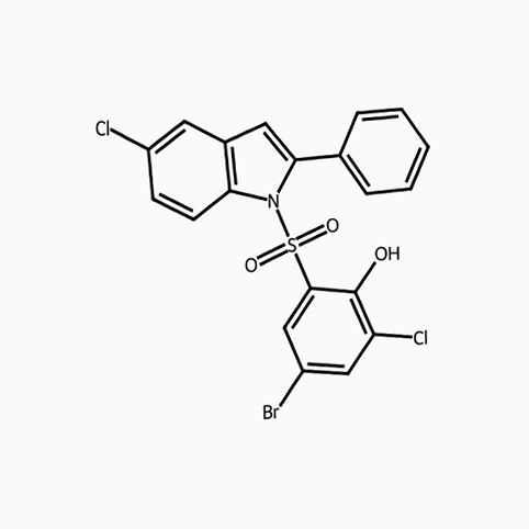 O=S(=O)(c1cc(Br)cc(Cl)c1O)n1c(-c2ccccc2)cc2cc(Cl)ccc21